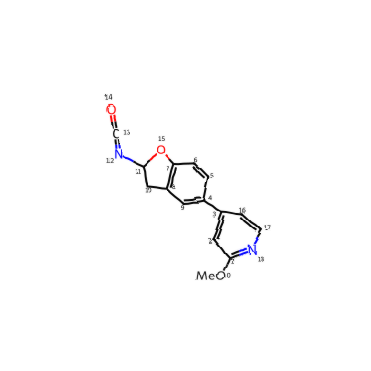 COc1cc(-c2ccc3c(c2)CC(N=C=O)O3)ccn1